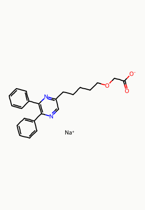 O=C([O-])COCCCCCc1cnc(-c2ccccc2)c(-c2ccccc2)n1.[Na+]